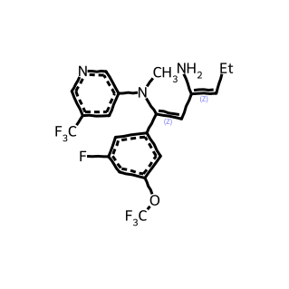 CC/C=C(N)/C=C(/c1cc(F)cc(OC(F)(F)F)c1)N(C)c1cncc(C(F)(F)F)c1